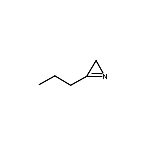 CCCC1=NC1